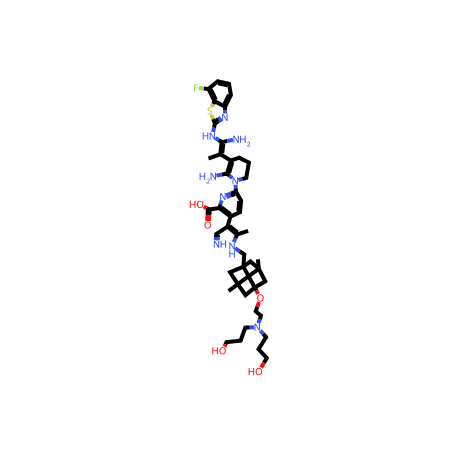 C/C(NCC12CC3(C)CC4(OCCN(CCCO)CCCO)CC(C)(C1)C324)=C(/C=N)c1ccc(N2CCCC(/C(C)=C(\N)Nc3nc4cccc(F)c4s3)=C2N)nc1C(=O)O